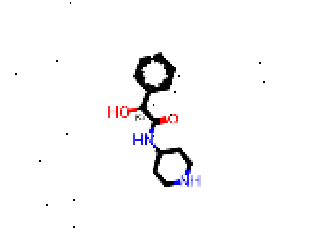 O=C(NC1CCNCC1)[C@@H](O)c1ccccc1